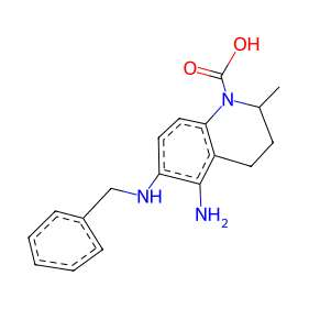 CC1CCc2c(ccc(NCc3ccccc3)c2N)N1C(=O)O